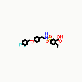 CCc1ccc(S(=O)(=O)NCCc2ccc(OCc3ccc(F)c(F)c3)cc2)cc1C(=O)O